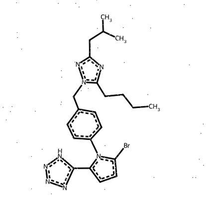 CCCCc1nc(CC(C)C)nn1Cc1ccc(-n2c(Br)ccc2-c2nnn[nH]2)cc1